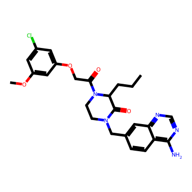 CCCC1C(=O)N(Cc2ccc3c(N)ncnc3c2)CCN1C(=O)COc1cc(Cl)cc(OC)c1